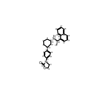 C[C@@H](N[C@H]1CCC[C@H](c2ccc(N3CCOC3=O)cc2)C1)c1cccc2ccccc12